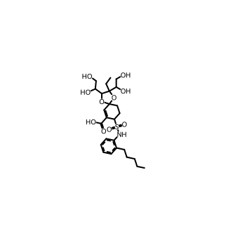 CCCCCc1ccccc1NS(=O)(=O)C1CCC2(C=C1C(=O)O)OC(C(O)CO)C(CC)(C(O)CO)O2